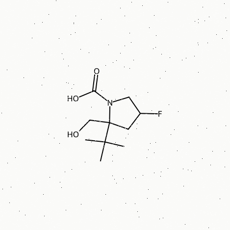 CC(C)(C)C1(CO)CC(F)CN1C(=O)O